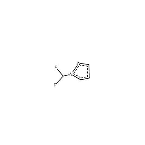 FC(F)n1[c]ccn1